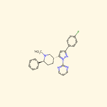 O=C(O)N1C[C@H](c2cc(-c3ccc(F)cc3)nn2-c2ncccn2)CC[C@H]1c1ccccc1